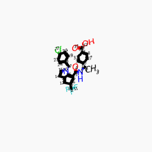 CC(NC(=O)c1cc(C(F)(F)F)cc2ccn(Cc3ccc(Cl)cc3)c12)[C@H]1CC[C@H](C(=O)O)CC1